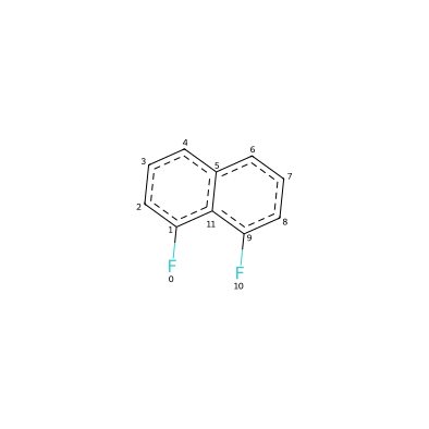 Fc1cccc2cccc(F)c12